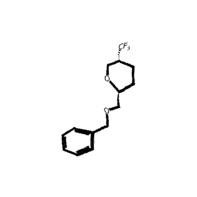 FC(F)(F)[C@@H]1CC[C@@H](COCc2ccccc2)OC1